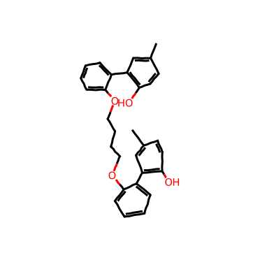 Cc1ccc(O)c(-c2ccccc2OCCCCOc2ccccc2-c2cc(C)ccc2O)c1